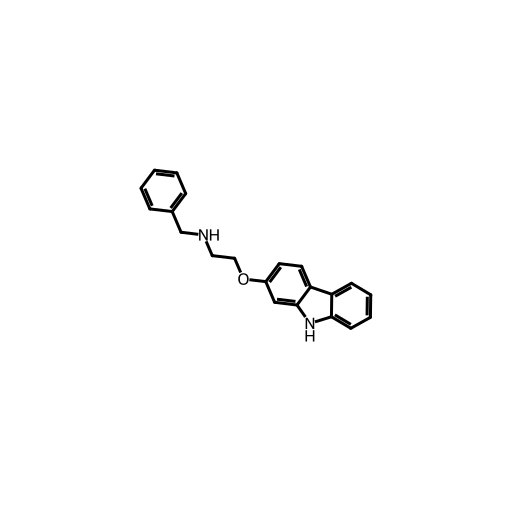 c1ccc(CNCCOc2ccc3c(c2)[nH]c2ccccc23)cc1